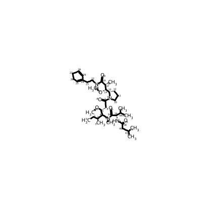 CC[C@H](C)C([C@@H](CC(=O)N1CCC[C@H]1[C@H](OC)[C@@H](C)C(=O)NCCC1=CCCC=C1)OC)N(C)C(=O)[C@@H](NC(=O)CC(C)C)C(C)C